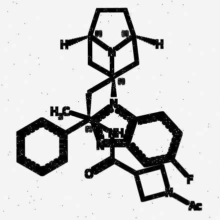 CC(=O)N1CC(C(=O)N[C@@H](CCN2[C@@H]3CC[C@H]2C[C@H](n2c(C)nc4cc(F)ccc42)C3)c2ccccc2)C1